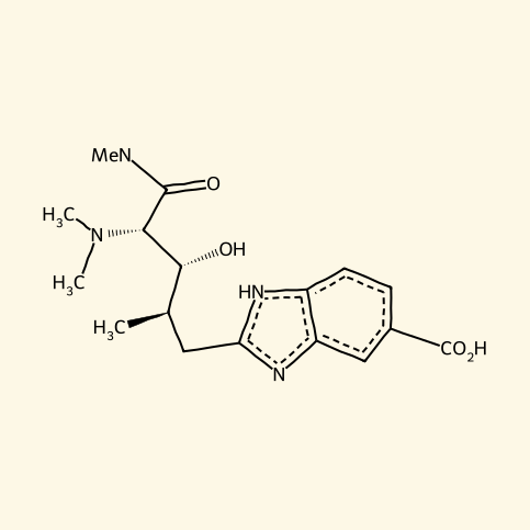 CNC(=O)[C@H]([C@H](O)[C@H](C)Cc1nc2cc(C(=O)O)ccc2[nH]1)N(C)C